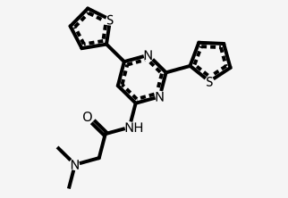 CN(C)CC(=O)Nc1cc(-c2cccs2)nc(-c2cccs2)n1